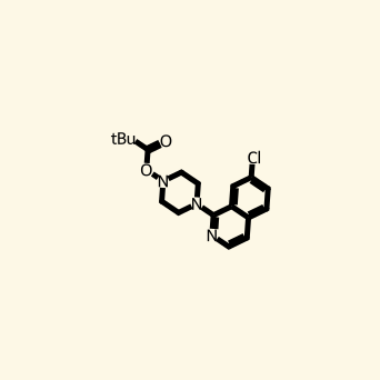 CC(C)(C)C(=O)ON1CCN(c2nccc3ccc(Cl)cc23)CC1